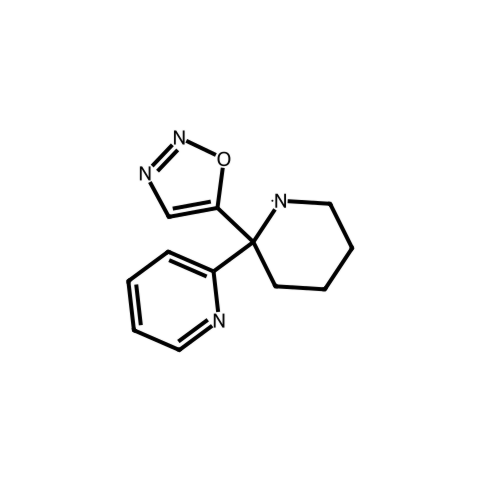 c1ccc(C2(c3cnno3)CCCC[N]2)nc1